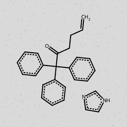 C=CCCC(=O)C(c1ccccc1)(c1ccccc1)c1ccccc1.c1c[nH]cn1